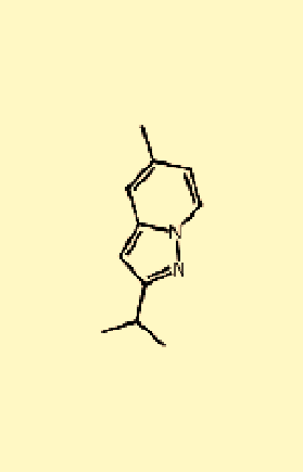 Cc1ccn2nc(C(C)C)cc2c1